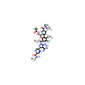 CNC(=O)c1ccc(-c2nn(C(C)c3cc(Cl)c(C)c(-c4ccc(C(=O)N(C)C)nc4)c3OCCOC(=O)C(F)(F)F)c3ncnc(N)c23)cn1